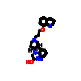 OC1CN2c3c(cccc3[C@@H]3CN(CCCOc4cccc5cccnc45)CC[C@@H]32)N1